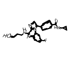 O=C(NC1CC1)c1ccc(-c2cnc3c(NCCCO)nc4ccc(F)cc4n23)cc1